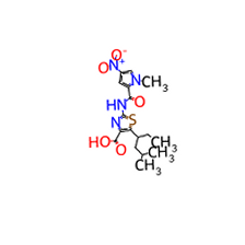 CCC(CC(C)C)c1sc(NC(=O)c2cc([N+](=O)[O-])cn2C)nc1C(=O)O